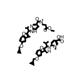 CCOC(=O)CCN(C)C(=O)c1ccc(NC(c2oc3ccc(OCC4CC4)cc3c2C)C(C)C)nc1.Cc1c(C(NC2C=CC(C(=O)O)=CN2C)C(C)C)oc2ccc(OCC3CC3)cc12